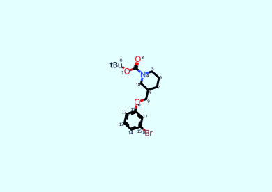 CC(C)(C)OC(=O)N1CCCC(COc2cccc(Br)c2)C1